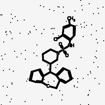 Cc1ccc(NS(=O)(=O)N2CCCC(C3c4ccccc4CCc4ccccc43)C2)c(Cl)c1